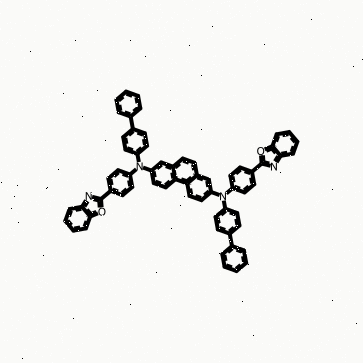 c1ccc(-c2ccc(N(c3ccc(-c4nc5ccccc5o4)cc3)c3ccc4c(ccc5cc(N(c6ccc(-c7ccccc7)cc6)c6ccc(-c7nc8ccccc8o7)cc6)ccc54)c3)cc2)cc1